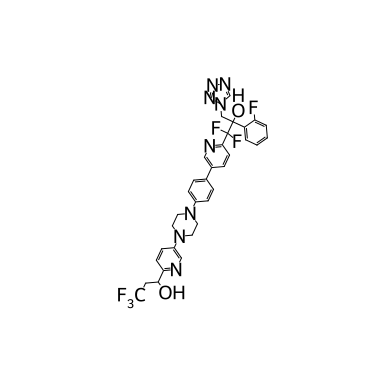 OC(CC(F)(F)F)c1ccc(N2CCN(c3ccc(-c4ccc(C(F)(F)C(O)(Cn5cnnn5)c5ccccc5F)nc4)cc3)CC2)cn1